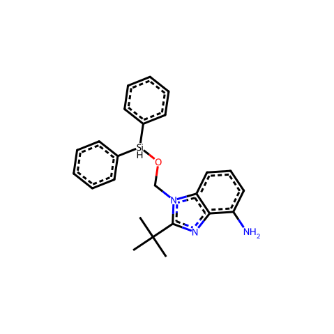 CC(C)(C)c1nc2c(N)cccc2n1CO[SiH](c1ccccc1)c1ccccc1